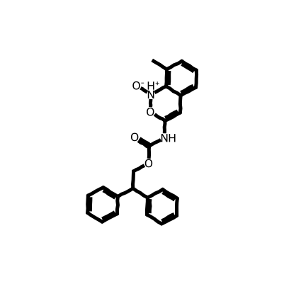 Cc1cccc2c1[NH+]([O-])OC(NC(=O)OCC(c1ccccc1)c1ccccc1)=C2